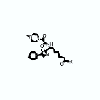 CCC(=O)CCCCCC(NC(=O)C(=O)N1CCN(C)CC1)c1ncc(-c2ccccc2)o1